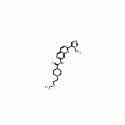 COCCN1CCC(C(=O)Nc2cc3nc(-c4cncn4C)ccc3cn2)CC1